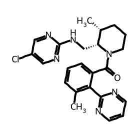 Cc1cccc(C(=O)N2CCC[C@@H](C)[C@H]2CNc2ncc(Cl)cn2)c1-c1ncccn1